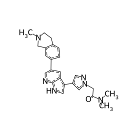 CN1CCc2ccc(-c3cnc4[nH]cc(-c5cnn(CC(=O)N(C)C)c5)c4c3)cc2C1